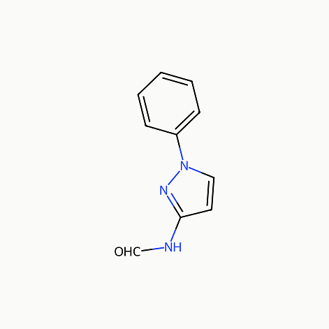 O=CNc1ccn(-c2ccccc2)n1